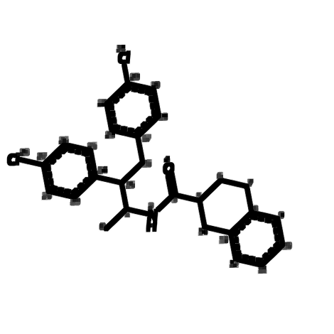 CC(NC(=O)C1CCc2ccccc2C1)C(Cc1ccc(Cl)cc1)c1ccc(Cl)cc1